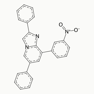 O=[N+]([O-])c1cccc(-c2cc(-c3ccccc3)cn3cc(-c4ccccc4)nc23)c1